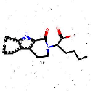 CCCCC(C(=O)[O-])N1CCc2c([nH]c3ccccc23)C1=O.[Li+]